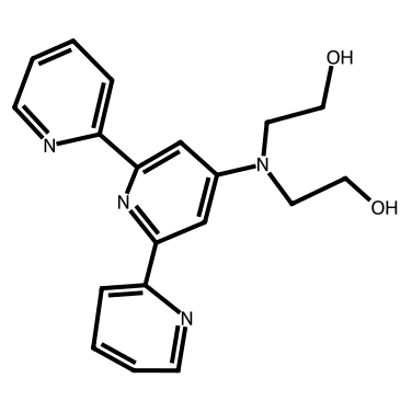 OCCN(CCO)c1cc(-c2ccccn2)nc(-c2ccccn2)c1